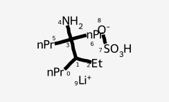 CCCC(CC)C(N)(CCC)CCC.O=S(=O)([O-])O.[Li+]